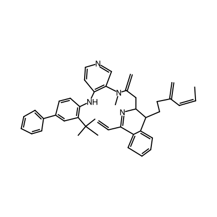 C=CC1=NC(CC(=C)N(C)c2cnccc2Nc2ccc(-c3ccccc3)cc2C(C)(C)C)C(CCC(=C)/C=C\C)c2ccccc21